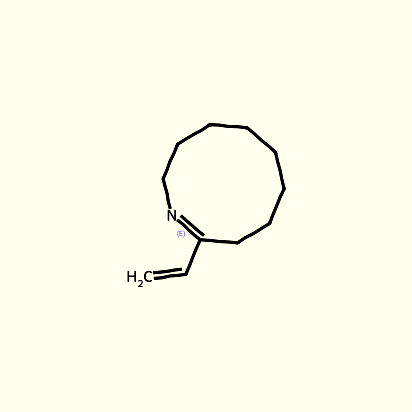 C=C/C1=N/CCCCCCCC1